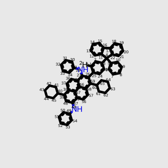 [2H]c1cc(C2(c3ccccc3)c3ccccc3-c3ccccc32)ccc1-c1c(Nc2ccccc2)c2ccc3c(C4CCCCC4)cc(Nc4ccccc4)c4ccc(c1C1CCCCC1)c2c43